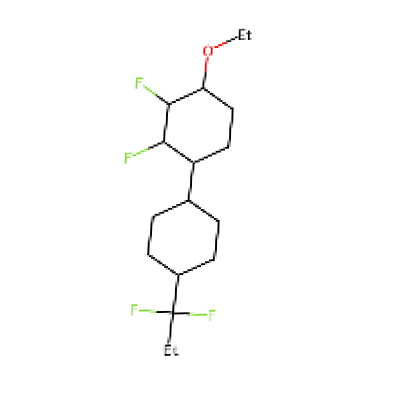 CCOC1CCC(C2CCC(C(F)(F)CC)CC2)C(F)C1F